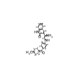 CN1CCN(C(=O)c2ccc(N/C=C(\N)c3cc4cnccc4[nH]c3=O)cc2)CC1